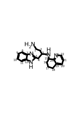 NCCC(Cc1nc2ccccc2[nH]1)NC1CCCc2cccnc21